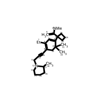 C=C(NC)C1(C2=CC(CC)=C(C#CCN3CCCCC3C)CC2(C)C)CCC1